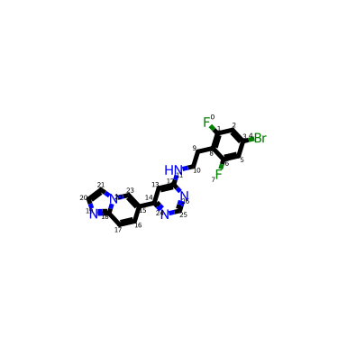 Fc1cc(Br)cc(F)c1CCNc1cc(-c2ccc3nccn3c2)ncn1